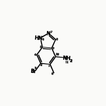 Cc1c(Br)cc2[nH]ncc2c1N